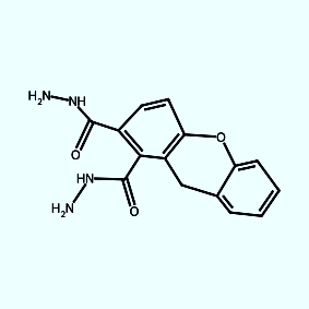 NNC(=O)c1ccc2c(c1C(=O)NN)Cc1ccccc1O2